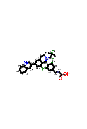 C[C@@H]1Cc2cc(-c3cnc4ccccc4c3)ccc2[C@@H](c2c(F)cc(/C=C/C(=O)O)cc2F)N1CC(C)(C)F